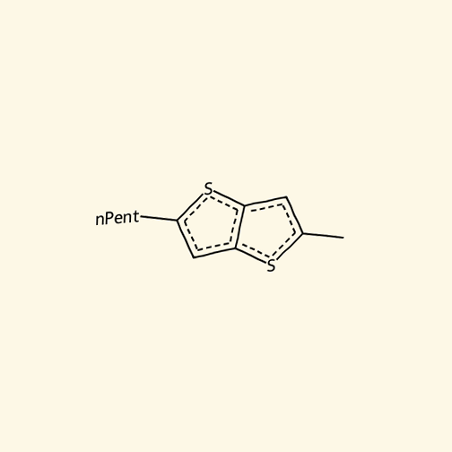 CCCCCc1cc2sc(C)cc2s1